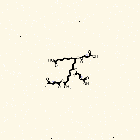 CC(CCCCC(CCC(CCCCCC(=O)O)OC(=O)/C=C/C(=O)O)OC(=O)/C=C/C(=O)O)OC(=O)/C=C/C(=O)O